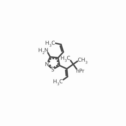 C/C=C\c1c(N)nsc1/C(=C\C)C(C)(C)CCC